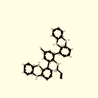 C=CC(=O)Oc1c(-c2cccc3c2Sc2ccccc2S3)cc(C)cc1-c1cccc2c1Sc1ccccc1S2